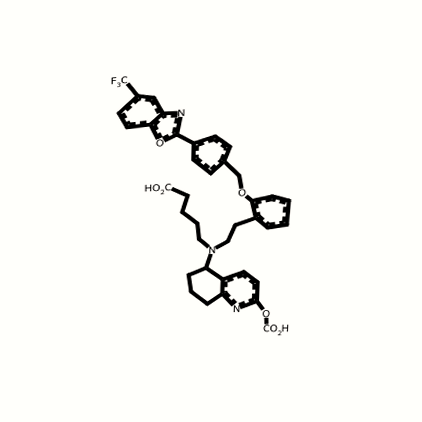 O=C(O)CCCCN(CCc1ccccc1OCc1ccc(-c2nc3cc(C(F)(F)F)ccc3o2)cc1)C1CCCc2nc(OC(=O)O)ccc21